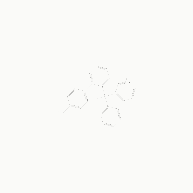 OC(c1ccccc1)(c1cccnc1)c1ccccc1-c1ccc(Cl)cc1